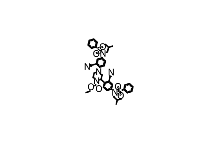 CCOC(=O)N1CCN(c2ccc(N(CC(C)C)S(=O)(=O)c3ccccc3)cc2C#N)CC1c1ccc(N(CC(C)C)S(=O)(=O)c2ccccc2)cc1C#N